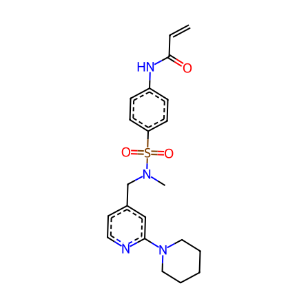 C=CC(=O)Nc1ccc(S(=O)(=O)N(C)Cc2ccnc(N3CCCCC3)c2)cc1